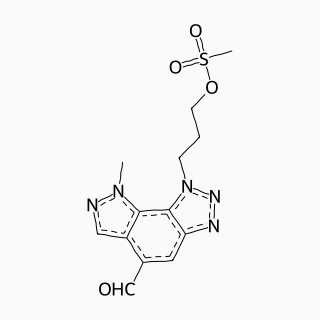 Cn1ncc2c(C=O)cc3nnn(CCCOS(C)(=O)=O)c3c21